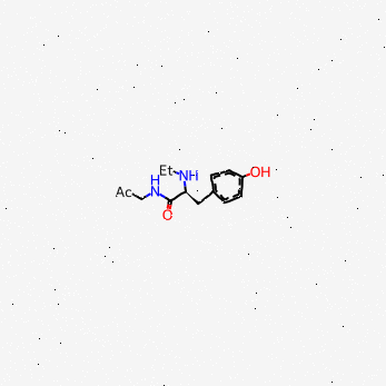 CCN[C@@H](Cc1ccc(O)cc1)C(=O)NCC(C)=O